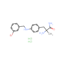 CC(N)(Cc1ccc(NCc2cccc(Br)c2)cc1)C(N)=O.Cl.Cl